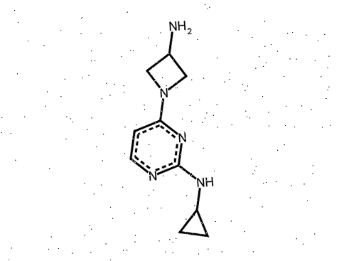 NC1CN(c2ccnc(NC3CC3)n2)C1